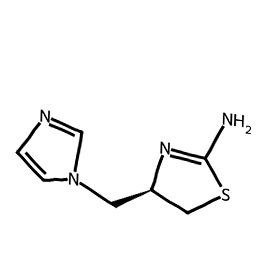 NC1=N[C@H](Cn2ccnc2)CS1